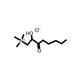 CCCCCC(=O)C(O)C[N+](C)(C)C.[Cl-]